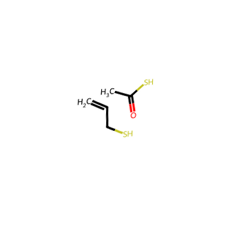 C=CCS.CC(=O)S